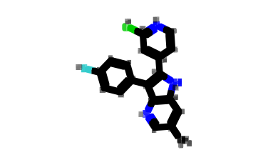 Cc1cnc2c(-c3ccc(F)cc3)c(-c3ccnc(Cl)c3)[nH]c2c1